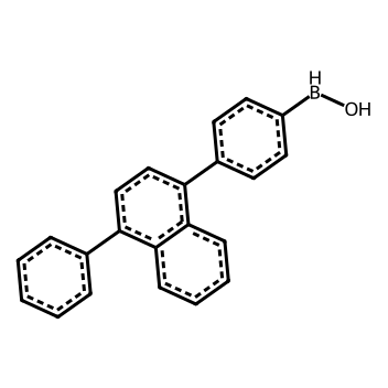 OBc1ccc(-c2ccc(-c3ccccc3)c3ccccc23)cc1